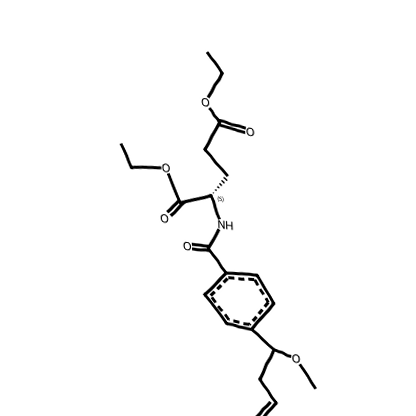 C=CCC(OC)c1ccc(C(=O)N[C@@H](CCC(=O)OCC)C(=O)OCC)cc1